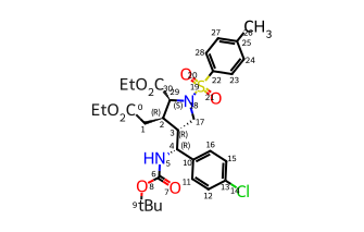 CCOC(=O)C[C@@H]1[C@@H]([C@@H](NC(=O)OC(C)(C)C)c2ccc(Cl)cc2)CN(S(=O)(=O)c2ccc(C)cc2)[C@@H]1C(=O)OCC